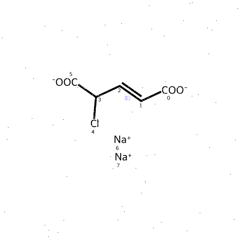 O=C([O-])/C=C/C(Cl)C(=O)[O-].[Na+].[Na+]